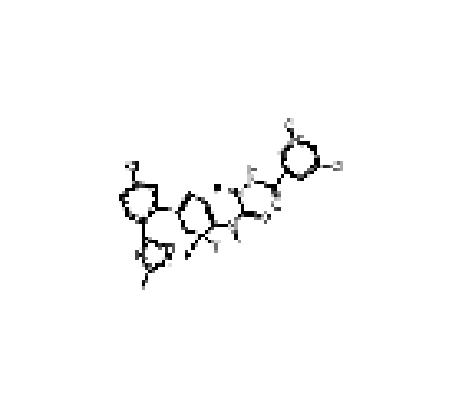 CCN(NC(=O)c1cc(Cl)c[n+]([O-])c1)C(=O)N(C)C1=CC=C(c2cc(Cl)ccc2-c2noc(C)n2)CC1(F)F